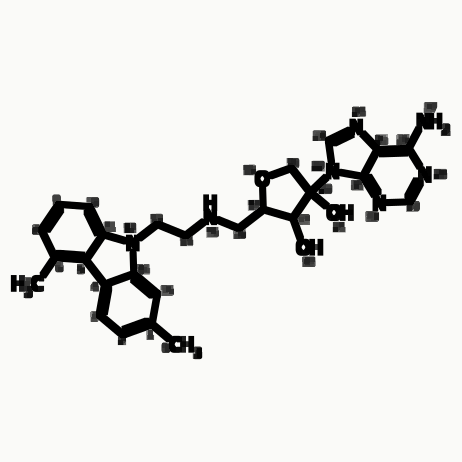 Cc1ccc2c3c(C)cccc3n(CCNCC3OCC(O)(n4cnc5c(N)ncnc54)C3O)c2c1